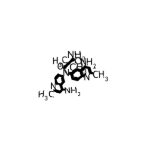 Cc1cc(N)c2cc(N(C(=O)C(C)(C)C(N)=O)c3ccc4nc(C)cc(N)c4c3)ccc2n1